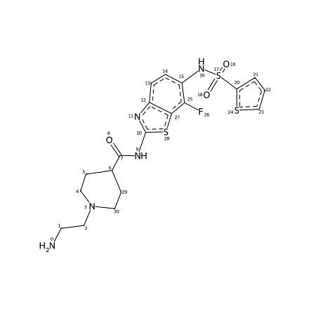 NCCN1CCC(C(=O)Nc2nc3ccc(NS(=O)(=O)c4cccs4)c(F)c3s2)CC1